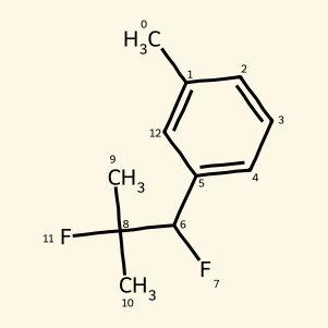 Cc1cccc(C(F)C(C)(C)F)c1